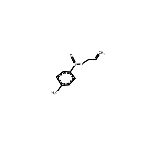 C=CCOS(=O)c1ccc(C)cc1